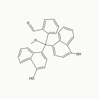 COC(c1ccccc1C=O)(c1ccc(O)c2ccccc12)c1ccc(O)c2ccccc12